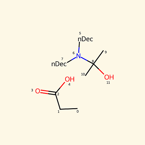 CCC(=O)O.CCCCCCCCCCN(CCCCCCCCCC)C(C)(C)O